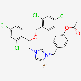 CC(=O)Oc1ccc(C[n+]2ccn(CC(OCc3ccc(Cl)cc3Cl)c3ccc(Cl)cc3Cl)c2)cc1.[Br-]